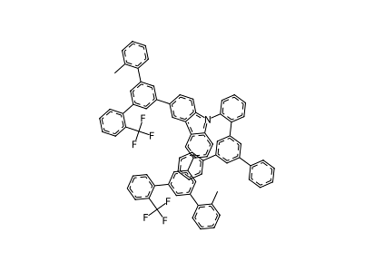 Cc1ccccc1-c1cc(-c2ccc3c(c2)c2cc(-c4cc(-c5ccccc5C)cc(-c5ccccc5C(F)(F)F)c4)ccc2n3-c2ccccc2-c2cc(-c3ccccc3)cc(-c3ccccc3)c2)cc(-c2ccccc2C(F)(F)F)c1